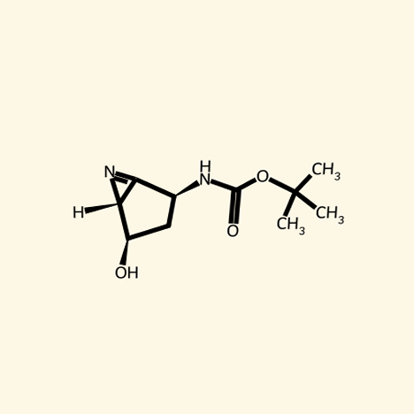 CC(C)(C)OC(=O)N[C@H]1C[C@@H](O)[C@@H]2N=C12